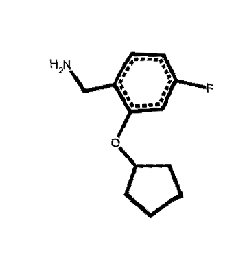 NCc1ccc(F)cc1OC1CCCC1